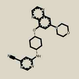 N#Cc1cc(N[C@H]2CC[C@@H](Oc3cc(N4CCOCC4)cc4nccnc34)CC2)ncn1